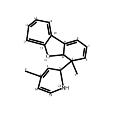 CC1=CC(C2(C)C=CC=C3c4ccccc4OC32)NC=C1